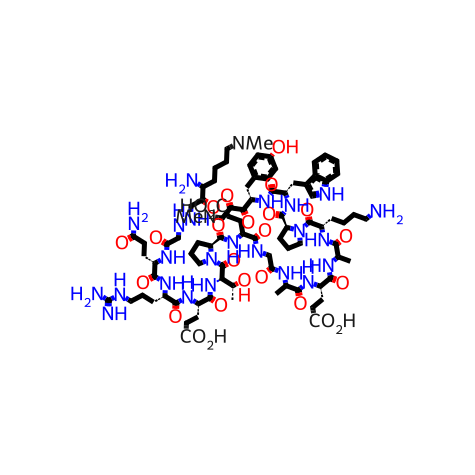 CNCCCCC(N)C(=O)CNNCC(=O)N[C@@H](CCC(N)=O)C(=O)N[C@@H](CCCNC(=N)N)C(=O)N[C@@H](CCC(=O)O)C(=O)N[C@H](C(=O)N1CCC[C@H]1C(=O)NC(CCC(=O)O)C(=O)NCC(=O)NC(C)C(=O)N[C@@H](CCC(=O)O)C(=O)NC(C)C(=O)N[C@@H](CCCCN)C(=O)N1CCC[C@H]1C(=O)N[C@@H](Cc1c[nH]c2ccccc12)C(=O)N[C@@H](Cc1ccc(O)cc1)C(=O)C(=O)CNC)[C@@H](C)O